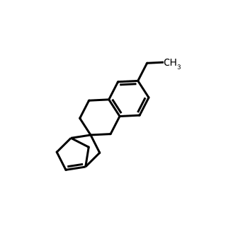 CCc1ccc2c(c1)CCC1(CC3=CCC1C3)C2